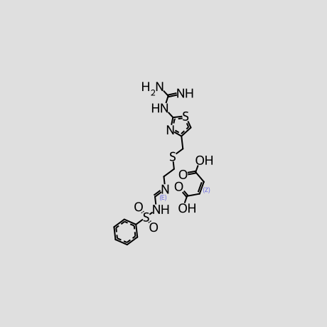 N=C(N)Nc1nc(CSCC/N=C/NS(=O)(=O)c2ccccc2)cs1.O=C(O)/C=C\C(=O)O